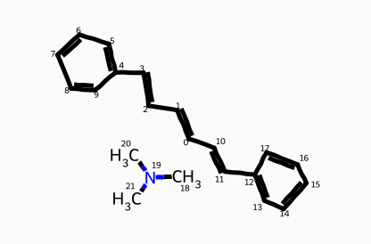 C(=CC=Cc1ccccc1)C=Cc1ccccc1.CN(C)C